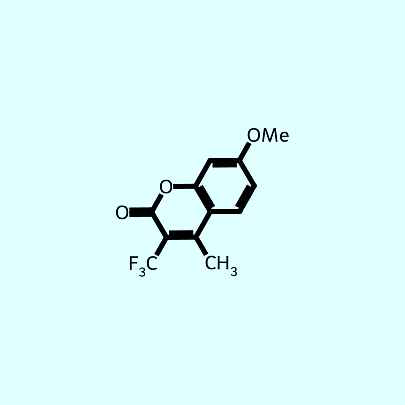 COc1ccc2c(C)c(C(F)(F)F)c(=O)oc2c1